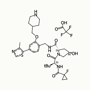 Cc1ncsc1-c1ccc(CNC(=O)[C@@H]2C[C@@H](O)CN2C(=O)[C@@H](NC(=O)C2(F)CC2)C(C)(C)C)c(OCC2CCNCC2)c1.O=C(O)C(F)(F)F